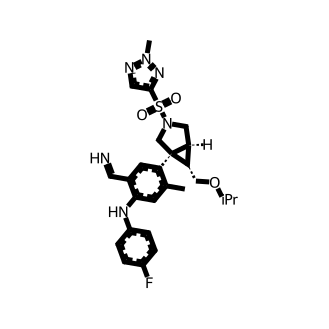 Cc1cc(Nc2ccc(F)cc2)c(C=N)cc1[C@]12CN(S(=O)(=O)c3cnn(C)n3)C[C@H]1[C@@H]2COC(C)C